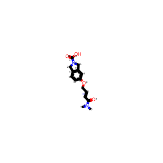 CN(C)C(=O)/C=C/COc1ccc2c(c1)CN(C(=O)O)C2